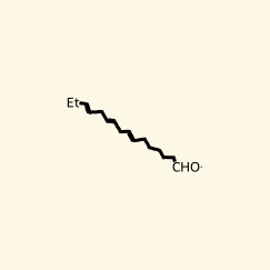 CCC=CCC=CCC=CCCCCC[C]=O